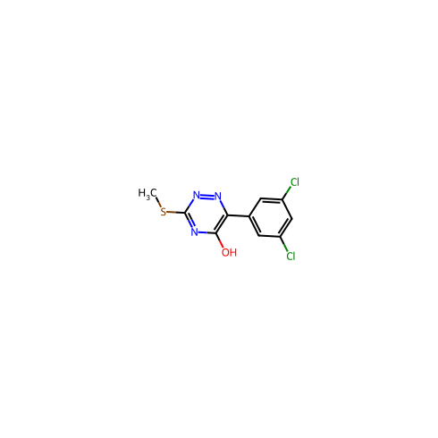 CSc1nnc(-c2cc(Cl)cc(Cl)c2)c(O)n1